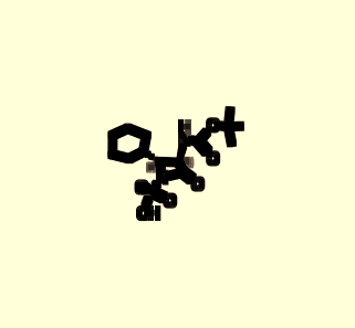 CC(C)(C)OC(=O)N[C@H]1C(=O)N(S(=O)(=O)O)[C@@H]1C1CCCCC1